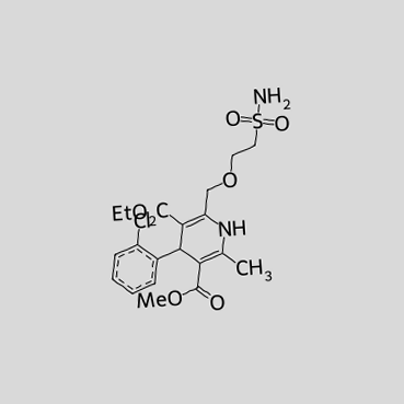 CCOC(=O)C1=C(COCCS(N)(=O)=O)NC(C)=C(C(=O)OC)C1c1ccccc1Cl